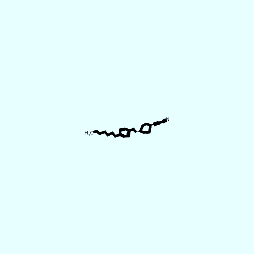 CCCCCCCc1ccc(CC[C@H]2CC[C@H](C#CC#N)CC2)cc1